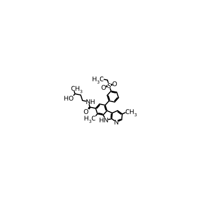 CCS(=O)(=O)c1cccc(-c2cc(C(=O)NCCC(C)O)c(C)c3[nH]c4ncc(C)cc4c23)c1